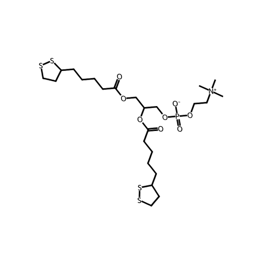 C[N+](C)(C)CCOP(=O)([O-])OCC(COC(=O)CCCCC1CCSS1)OC(=O)CCCCC1CCSS1